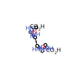 Cc1ccccc1[C@@](C)(NC(=O)O)C(=O)N1CCC[C@H]1c1nc2cc(C#Cc3ccc4[nH]c(C5CCCN5C(=O)C(NC(=O)O)c5ccccc5)nc4c3)ccc2[nH]1